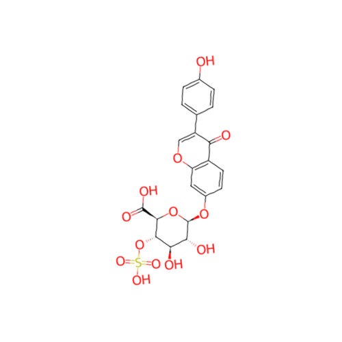 O=C(O)[C@H]1O[C@@H](Oc2ccc3c(=O)c(-c4ccc(O)cc4)coc3c2)[C@H](O)[C@@H](O)[C@@H]1OS(=O)(=O)O